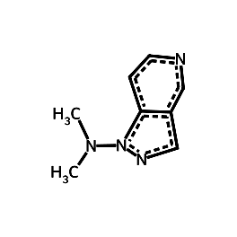 CN(C)n1ncc2cnccc21